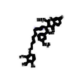 CCCc1c(OCCCCC/C=C\C=C\[C@@H](c2c(C(=O)O)oc3c(c2=O)=CCC(=S)C=3)[C@@H](O)c2cccc(C(=O)O)c2)ccc(C(C)=O)c1O